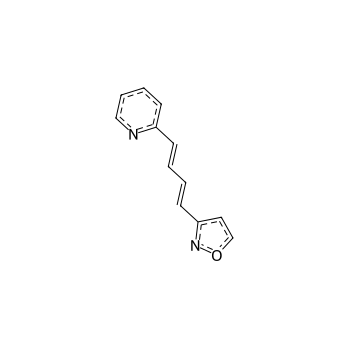 C(C=Cc1ccon1)=Cc1ccccn1